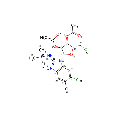 CC(=O)O[C@@H]1[C@H](OC(C)=O)[C@@H](n2c(NC(C)(C)C)nc3cc(Cl)c(Cl)cc32)O[C@H]1CCl